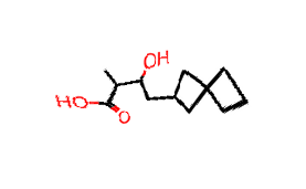 CC(C(=O)O)C(O)CC1CC2(CCC2)C1